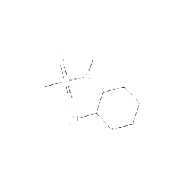 CN([C@@H]1CCCCC1N)S(C)(=O)=O